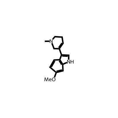 COc1ccc2c(C3=CCCN(C)C3)c[nH]c2c1